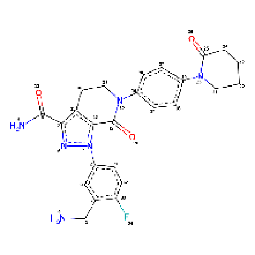 NCc1cc(-n2nc(C(N)=O)c3c2C(=O)N(c2ccc(N4CCCCC4=O)cc2)CC3)ccc1F